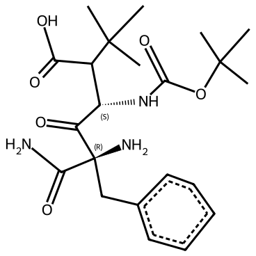 CC(C)(C)OC(=O)N[C@H](C(=O)[C@](N)(Cc1ccccc1)C(N)=O)C(C(=O)O)C(C)(C)C